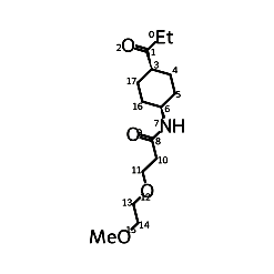 CCC(=O)[C@H]1CC[C@@H](NC(=O)CCOCCOC)CC1